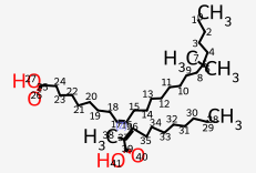 CCCCCC(C)(C)CCCCCCCC/C=C\CCCCCCCC(=O)O.CCCCCCCCC=C(C)C(=O)O